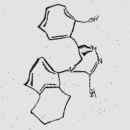 Oc1ccccc1-c1nnc(S)n1-c1cccc2c1CCCC2